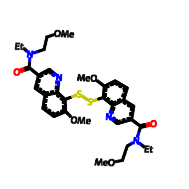 CCN(CCOC)C(=O)c1cnc2c(SSc3c(OC)ccc4cc(C(=O)N(CC)CCOC)cnc34)c(OC)ccc2c1